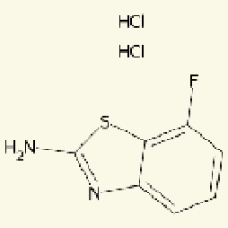 Cl.Cl.Nc1nc2cccc(F)c2s1